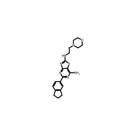 Nc1nc(-c2ccc3c(c2)CCC3)nc2nc(NCCN3CCOCC3)sc12